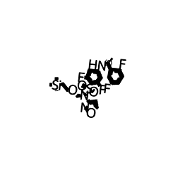 C[C@H](Nc1cc(F)c(S(=O)(=O)N(COCC[Si](C)(C)C)c2ccon2)c(F)c1)c1cc(F)ccc1F